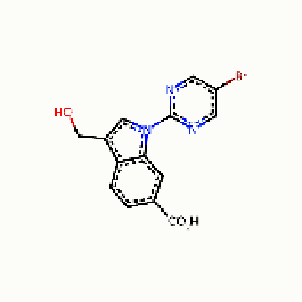 O=C(O)c1ccc2c(CO)cn(-c3ncc(Br)cn3)c2c1